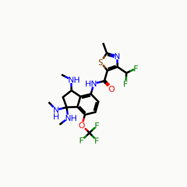 CNC1CC(NC)(NC)c2c(OC(F)(F)F)ccc(NC(=O)c3sc(C)nc3C(F)F)c21